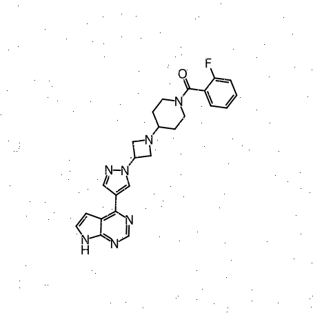 O=C(c1ccccc1F)N1CCC(N2C[C](n3cc(-c4ncnc5[nH]ccc45)cn3)C2)CC1